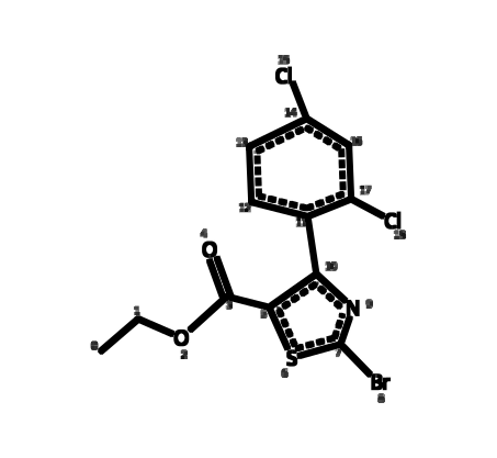 CCOC(=O)c1sc(Br)nc1-c1ccc(Cl)cc1Cl